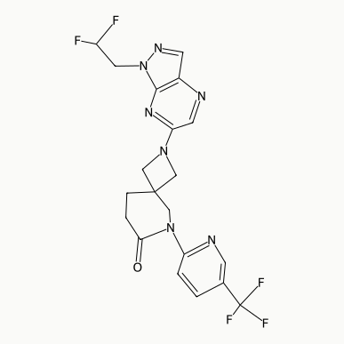 O=C1CCC2(CN(c3cnc4cnn(CC(F)F)c4n3)C2)CN1c1ccc(C(F)(F)F)cn1